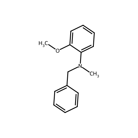 COc1ccccc1N(C)Cc1ccccc1